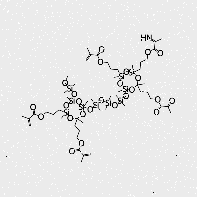 C=C(C)C(=O)OCCCC1(C)O[Si](C)(CCCOC(=O)C(=C)C)O[Si](C)(O[Si](C)(C)OC)O[Si](C)(O[Si](C)(C)O[Si](C)(C)O[Si](C)(C)O[Si]2(C)OC(C)(CCCOC(=O)C(C)=O)O[Si](C)(CCCOC(=O)C(C)=N)O[Si](C)(CCCOC(=O)C(=C)C)O2)O1